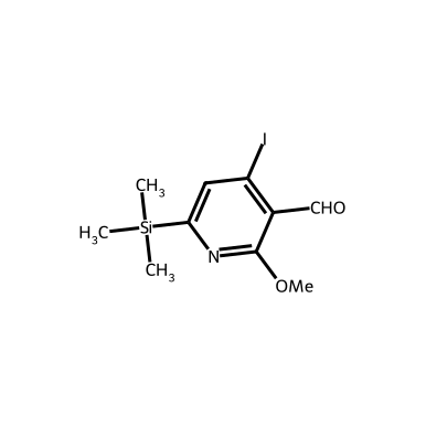 COc1nc([Si](C)(C)C)cc(I)c1C=O